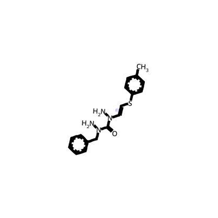 Cc1ccc(S/C=C/N(N)C(=O)N(N)Cc2ccccc2)cc1